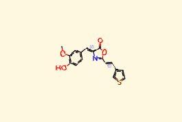 COc1cc(/C=C2N=C(/C=C/c3ccsc3)OC\2=O)ccc1O